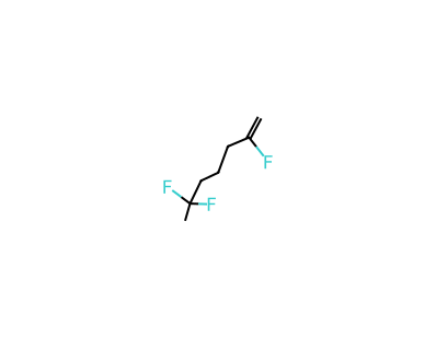 C=C(F)CCCC(C)(F)F